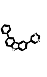 [c]1ccc(-c2ccc3oc4ccc(-c5cncnc5)cc4c3c2)cc1